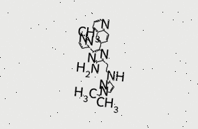 CC(C)n1ccc(NCCc2nc(-c3ccc4ncccc4c3)c(-c3ccn(C)n3)nc2N)n1